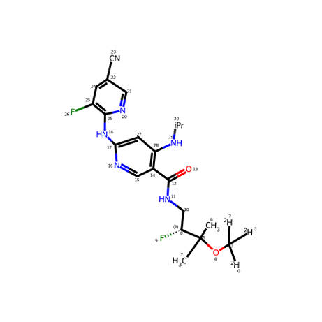 [2H]C([2H])([2H])OC(C)(C)[C@H](F)CNC(=O)c1cnc(Nc2ncc(C#N)cc2F)cc1NC(C)C